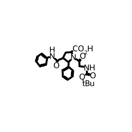 CC(C)(C)OC(=O)NCC(=O)N1C(C(=O)O)CC(C(=O)Nc2ccccc2)C1c1ccccc1